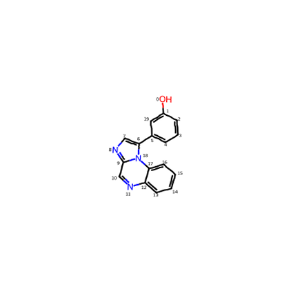 Oc1cccc(-c2cnc3cnc4ccccc4n23)c1